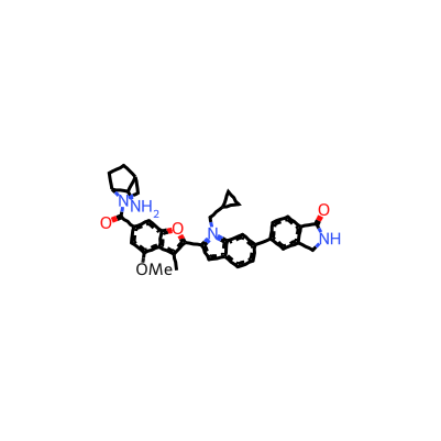 COc1cc(C(=O)N2CC3CCC2C3N)cc2oc(-c3cc4ccc(-c5ccc6c(c5)CNC6=O)cc4n3CC3CC3)c(C)c12